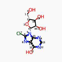 OC[C@H]1O[C@@H](n2c(Cl)nc3c(O)ncnc32)[C@H](O)[C@@H]1O